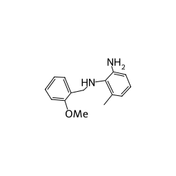 COc1ccccc1CNc1c(C)cccc1N